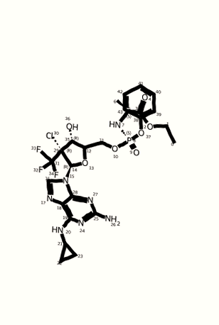 CCOC(=O)[C@H](C)N[P@](=O)(OCC1O[C@@H](n2cnc3c(NC4CC4)nc(N)nc32)[C@@](Cl)(C(F)(F)F)[C@@H]1O)Oc1ccccc1